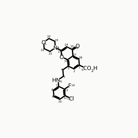 O=C(O)c1cc(CCNc2cccc(Cl)c2F)c2oc(N3CCOCC3)cc(=O)c2c1